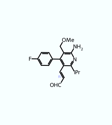 COCc1c(N)nc(C(C)C)c(/C=C/C=O)c1-c1ccc(F)cc1